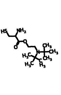 CC(C)(C)N(CCOC(=O)C(N)CS)C(C)(C)C